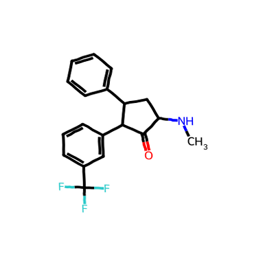 CNC1CC(c2ccccc2)C(c2cccc(C(F)(F)F)c2)C1=O